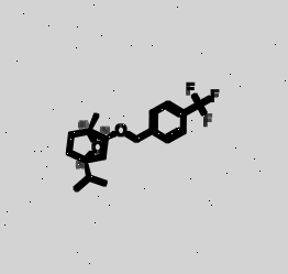 CC(C)[C@@]12CC[C@@](C)(O1)[C@@H](OCc1ccc(C(F)(F)F)cc1)C2